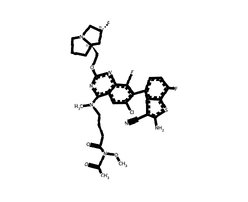 CON(C(C)=O)C(=O)CCCN(C)c1nc(OC[C@@]23CCCN2C[C@H](F)C3)nc2c(F)c(-c3ccc(F)c4sc(N)c(C#N)c34)c(Cl)cc12